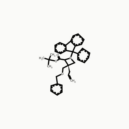 C=CC[C@]1(COCc2ccccc2)CN(C2(c3ccccc3)c3ccccc3-c3ccccc32)C1C(=O)OC(C)(C)C